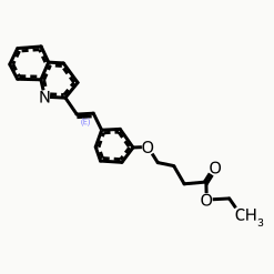 CCOC(=O)CCCOc1cccc(/C=C/c2ccc3ccccc3n2)c1